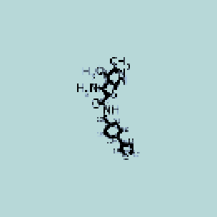 Cc1nnc2sc(C(=O)NCc3ccc(-c4ccsc4)cc3)c(N)c2c1C